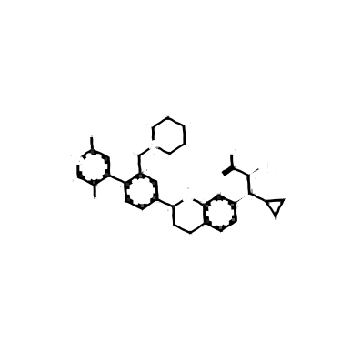 Cc1cc(-c2ccc(C3CCc4ccc([C@H](C5CC5)[C@H](C)C(=O)O)cc4O3)cc2CN2CCCCC2)c(F)cn1